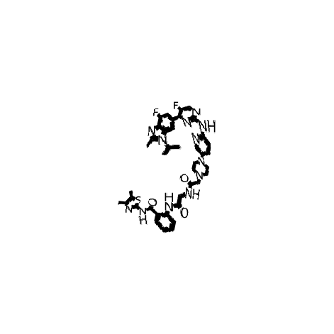 Cc1nc(NC(=O)c2ccccc2NC(=O)CNC(=O)CN2CCN(c3ccc(Nc4ncc(F)c(-c5cc(F)c6nc(C)n(C(C)C)c6c5)n4)nc3)CC2)sc1C